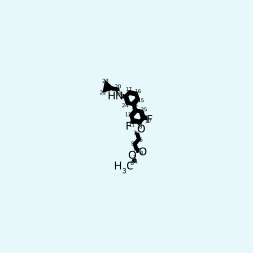 CCOC(=O)CCCOc1c(F)cc(-c2cccc(NCC3CC3)c2)cc1F